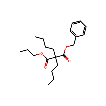 CCCCC(CCCC)(C(=O)OCCC)C(=O)OCc1ccccc1